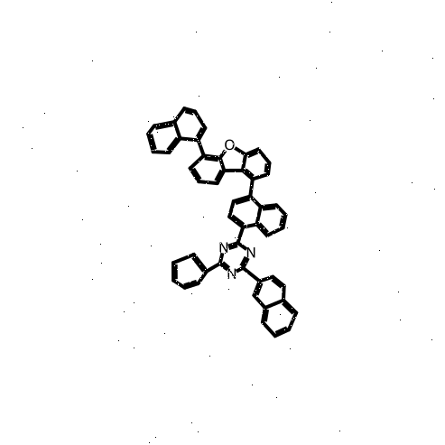 c1ccc(-c2nc(-c3ccc4ccccc4c3)nc(-c3ccc(-c4cccc5oc6c(-c7cccc8ccccc78)cccc6c45)c4ccccc34)n2)cc1